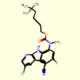 CN(C(=O)OCCCCC(C)(C)C)c1cc(F)c(C#N)c2c1[nH]c1ncc(Cl)cc12